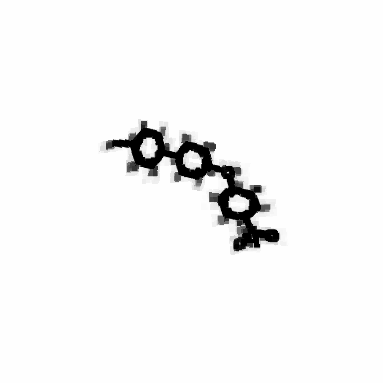 Cc1ccc(-c2ccc(Oc3ccc([SH](=O)=O)cc3)cc2)cc1